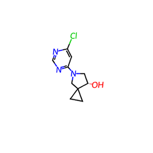 O[C@H]1CN(c2cc(Cl)ncn2)CC12CC2